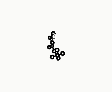 C1=CCNC(c2cccc(-c3ccc4cc(-c5ccc6c7c(cccc57)-c5c-6c(-c6ccccc6)c6ccccc6c5-c5ccccc5)c5ccccc5c4c3)n2)=C1